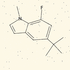 Cn1ccc2cc(C(C)(C)C)cc(F)c21